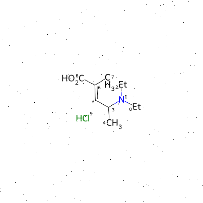 CCN(CC)C(C)/C=C(\C)C(=O)O.Cl